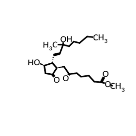 CCCCCC(C)(O)/C=C/[C@H]1[C@H](O)CC(=O)[C@@H]1CC(=O)CCCCC(=O)OC